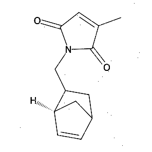 CC1=CC(=O)N(CC2CC3C=C[C@@H]2C3)C1=O